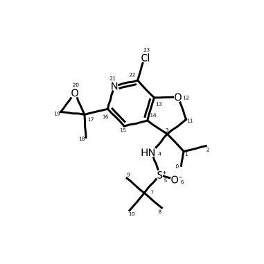 CC(C)C1(N[S+]([O-])C(C)(C)C)COc2c1cc(C1(C)CO1)nc2Cl